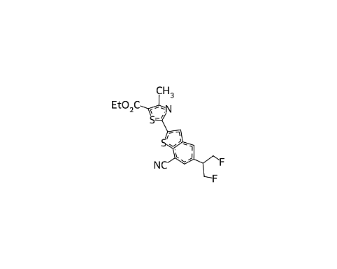 CCOC(=O)c1sc(-c2cc3cc(C(CF)CF)cc(C#N)c3s2)nc1C